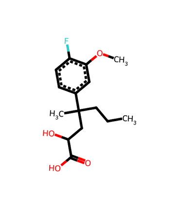 CCCC(C)(CC(O)C(=O)O)c1ccc(F)c(OC)c1